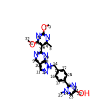 COc1nc(C)c(-c2ncc3cnn(Cc4ccc(-c5nc(O)cn5C)cc4)c3n2)c(OC)n1